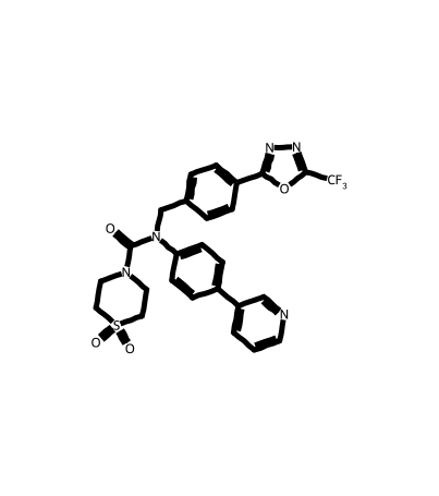 O=C(N1CCS(=O)(=O)CC1)N(Cc1ccc(-c2nnc(C(F)(F)F)o2)cc1)c1ccc(-c2cccnc2)cc1